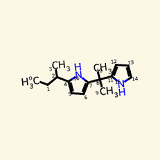 CCC(C)c1ccc(C(C)(C)c2ccc[nH]2)[nH]1